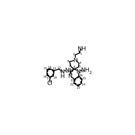 N=CCN1CCC2(CC1)C(NNCc1cccc(Cl)c1)=Nc1ccccc1N2N